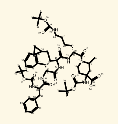 CC1CC(NC(=O)OC(C)(C)C)(C(=O)O)CCN1C(=O)[C@@H](CCCCNC(=O)OC(C)(C)C)NC(=O)C(CCC1CC1)NC(=O)[C@@H](Cc1ccccc1)NC(=O)[C@@H](Cc1ccccc1)NC(=O)OC(C)(C)C